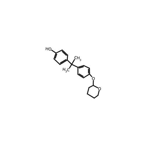 CC(C)(c1ccc(O)cc1)c1ccc(OC2CCCCO2)cc1